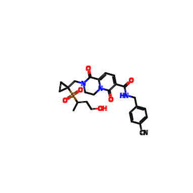 CC(CCO)S(=O)(=O)C1(CN2CCn3c(ccc(C(=O)NCc4ccc(C#N)cc4)c3=O)C2=O)CC1